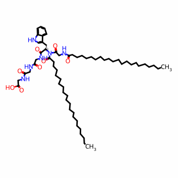 CCCCCCCCCCCCCCCCCCCCCC(=O)NCC(=O)N(C(=O)CCCCCCCCCCCCCCCCCCCCC)[C@@H](Cc1c[nH]c2ccccc12)C(=O)NCC(=O)NCC(=O)NCC(=O)O